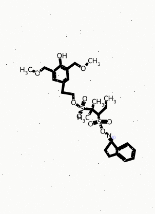 CCC(C(C)(C)S(=O)(=O)OCCc1cc(COC)c(O)c(COC)c1)S(=O)(=O)O/N=C1\CCc2ccccc21